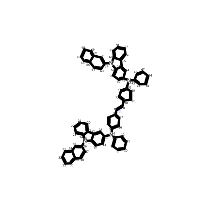 C(=C\c1ccc(N(c2ccccc2)c2ccc3c(c2)c2ccccc2n3-c2ccc3ccccc3c2)cc1)/c1ccc(N(c2ccccc2)c2ccc3c(c2)c2ccccc2n3-c2ccc3ccccc3c2)cc1